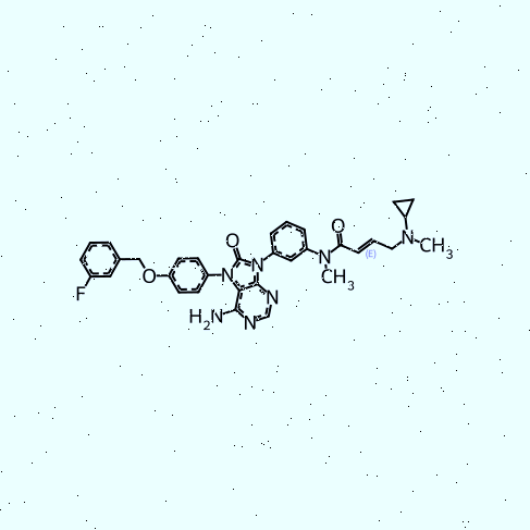 CN(C(=O)/C=C/CN(C)C1CC1)c1cccc(-n2c(=O)n(-c3ccc(OCc4cccc(F)c4)cc3)c3c(N)ncnc32)c1